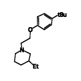 CCC1CCCN(CCOc2ccc(C(C)(C)C)cc2)C1